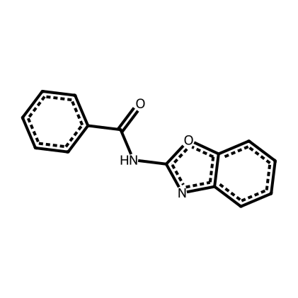 O=C(Nc1nc2ccccc2o1)c1ccccc1